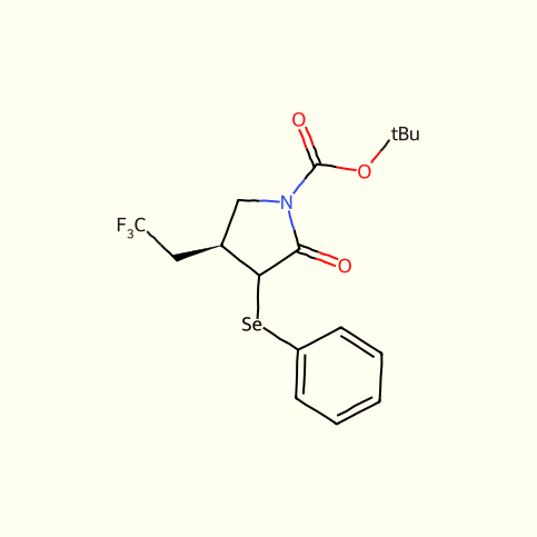 CC(C)(C)OC(=O)N1C[C@H](CC(F)(F)F)C([Se]c2ccccc2)C1=O